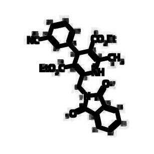 CCOC(=O)C1=C(C)NC(CN2C(=O)c3ccccc3C2=O)=C(C(=O)OCC)C1c1cccc(C#N)c1